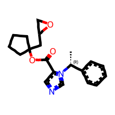 C[C@H](c1ccccc1)n1cncc1C(=O)OC1(CC2CO2)CCCC1